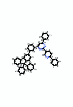 c1ccc(-c2ccc(-c3nc(-c4ccccc4)cc(-c4cccc(-c5ccc6c(c5)-c5ccccc5C6(c5ccccc5)c5ccccc5)c4)n3)cn2)cc1